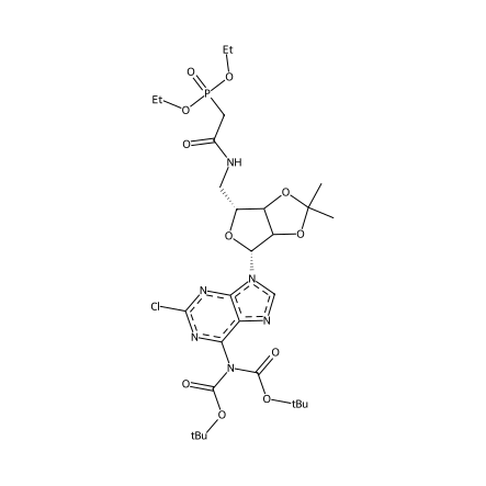 CCOP(=O)(CC(=O)NC[C@H]1O[C@@H](n2cnc3c(N(C(=O)OC(C)(C)C)C(=O)OC(C)(C)C)nc(Cl)nc32)C2OC(C)(C)OC21)OCC